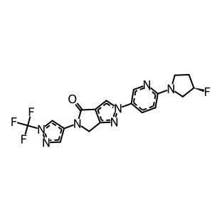 O=C1c2cn(-c3ccc(N4CC[C@@H](F)C4)nc3)nc2CN1c1cnn(C(F)(F)F)c1